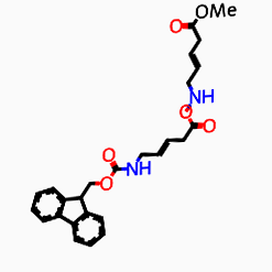 COC(=O)C/C=C/CNOC(=O)C/C=C/CNC(=O)OCC1c2ccccc2-c2ccccc21